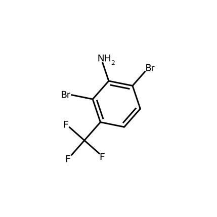 Nc1c(Br)ccc(C(F)(F)F)c1Br